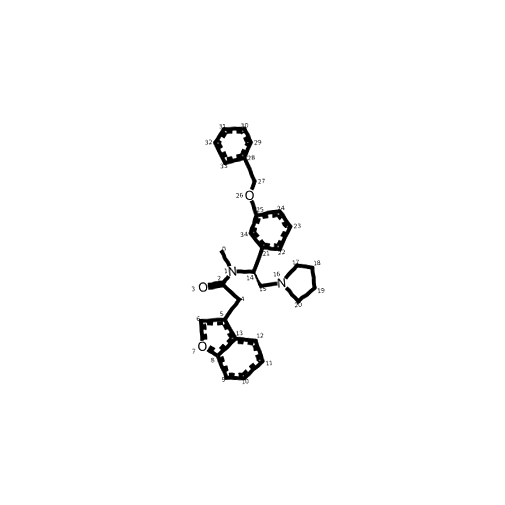 CN(C(=O)Cc1coc2ccccc12)[C@H](CN1CCCC1)c1cccc(OCc2ccccc2)c1